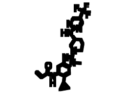 C=CC(=O)Nc1cc2nc(N3CCCC(Nc4ncc(C(F)(F)F)cn4)C3)n(C)c2cc1C1CC1